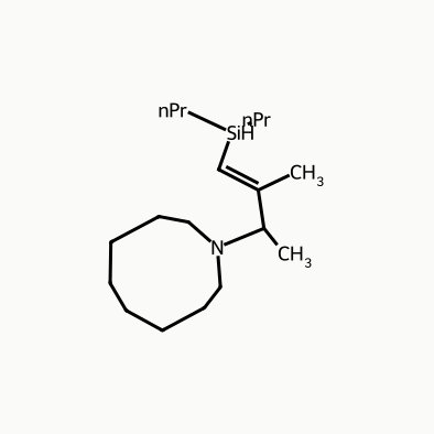 CCC[SiH](C=C(C)C(C)N1CCCCCCCC1)CCC